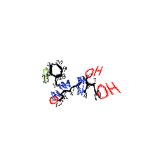 OCCc1cnc(-c2cc(-c3ccon3)n(Cc3ccccc3F)n2)nc1O